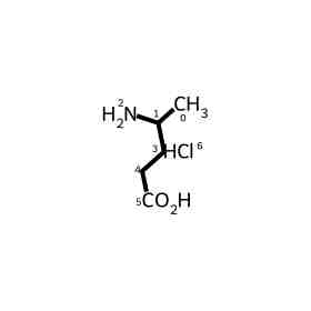 CC(N)CCC(=O)O.Cl